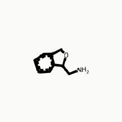 NCC1OCc2ccccc21